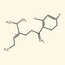 C=C(CC/C(=C\CC)N(C)C)C1=C(F)C=C(F)CC1